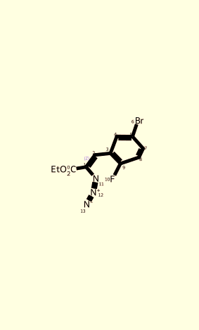 CCOC(=O)/C(=C/c1cc(Br)ccc1F)N=[N+]=[N-]